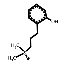 CC(C)S(C)(C)CCCc1ccccc1O